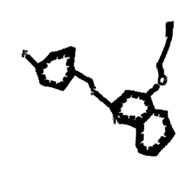 C=CCOc1cc(SCc2ccc(F)cc2)nc2ccccc12